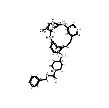 O=C(OCc1ccccc1)N1CCC(Nc2ccc3cc2CCc2cncc(c2)Nc2ncc(Cl)c(n2)N3)CC1